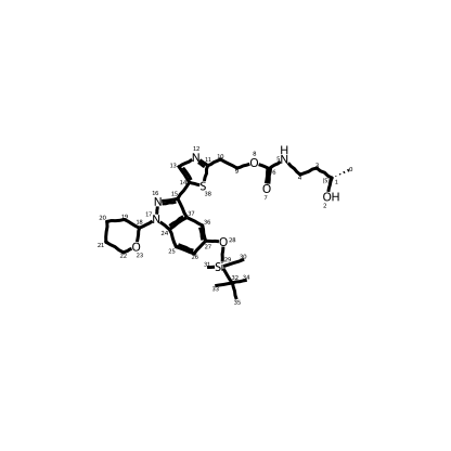 C[C@H](O)CCNC(=O)OCCc1ncc(-c2nn(C3CCCCO3)c3ccc(O[Si](C)(C)C(C)(C)C)cc23)s1